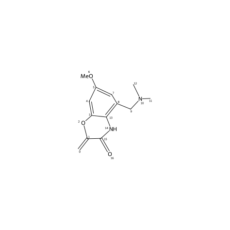 C=C1Oc2cc(OC)cc(CN(C)C)c2NC1=O